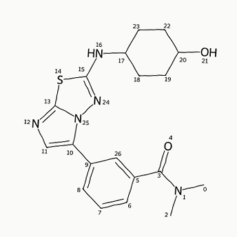 CN(C)C(=O)c1cccc(-c2cnc3sc(NC4CCC(O)CC4)nn23)c1